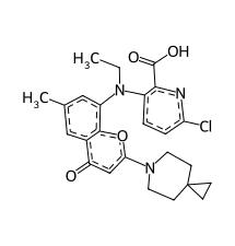 CCN(c1ccc(Cl)nc1C(=O)O)c1cc(C)cc2c(=O)cc(N3CCC4(CC3)CC4)oc12